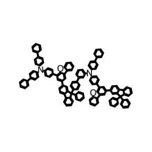 c1ccc(-c2ccc(N(c3ccc(-c4ccccc4)cc3)c3ccc(-c4cc(-c5ccc6c(c5)C(c5ccccc5)(c5ccc(-c7cccc(N(c8ccc(-c9ccccc9)cc8)c8ccc(-c9cc(-c%10ccc%11c(c%10)C(c%10ccccc%10)(c%10ccccc%10)c%10ccccc%10-%11)cc%10c9oc9ccccc9%10)cc8)c7)cc5)c5ccccc5-6)cc5c4oc4ccccc45)cc3)cc2)cc1